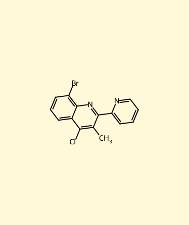 Cc1c(-c2ccccn2)nc2c(Br)cccc2c1Cl